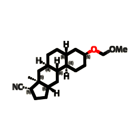 COCO[C@H]1CC[C@@H]2[C@H](CC[C@@H]3C[C@@]4(C)[C@@H](CC[C@@H]4C#N)C[C@H]32)C1